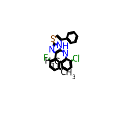 Cc1ccc(F)c(-c2nc3scc(-c4ccccc4)n3c2Nc2c(C)cccc2Cl)c1